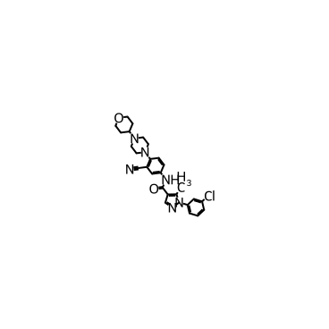 Cc1c(C(=O)Nc2ccc(N3CCN(C4CCOCC4)CC3)c(C#N)c2)cnn1-c1cccc(Cl)c1